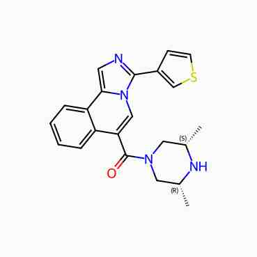 C[C@@H]1CN(C(=O)c2cn3c(-c4ccsc4)ncc3c3ccccc23)C[C@H](C)N1